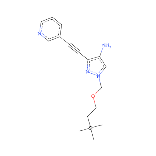 C[Si](C)(C)CCOCn1cc(N)c(C#Cc2cccnc2)n1